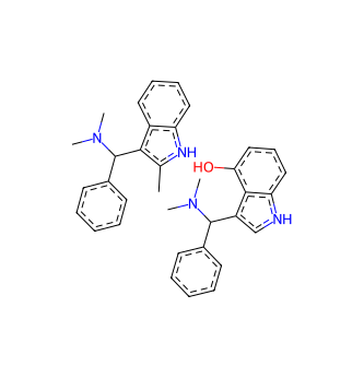 CN(C)C(c1ccccc1)c1c[nH]c2cccc(O)c12.Cc1[nH]c2ccccc2c1C(c1ccccc1)N(C)C